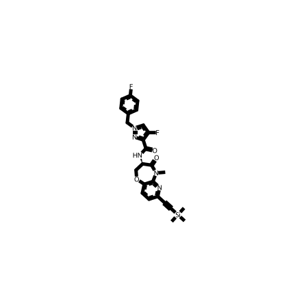 CN1C(=O)[C@@H](NC(=O)c2nn(Cc3ccc(F)cc3)cc2F)COc2ccc(C#C[Si](C)(C)C)nc21